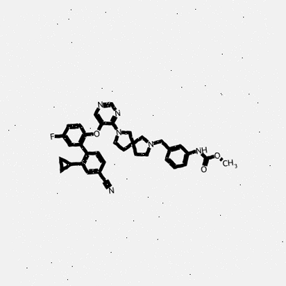 COC(=O)Nc1cccc(CN2CCC3(CCN(c4ncncc4Oc4ccc(F)cc4-c4ccc(C#N)cc4C4CC4)C3)C2)c1